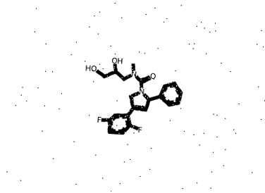 CN(CC(O)CO)C(=O)N1CC(c2cc(F)ccc2F)=CC1c1ccccc1